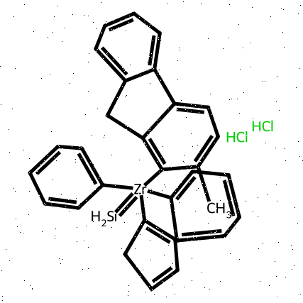 Cc1ccc2c([c]1[Zr](=[SiH2])([C]1=CC=CC1)([c]1ccccc1)[c]1ccccc1)Cc1ccccc1-2.Cl.Cl